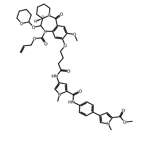 C=CCOC(=O)N1c2cc(OCCCC(=O)Nc3cc(C(=O)Nc4ccc(-c5cc(C(=O)OC)n(C)c5)cc4)n(C)c3)c(OC)cc2C(=O)N2CCCC[C@H]2C1OC1CCCCO1